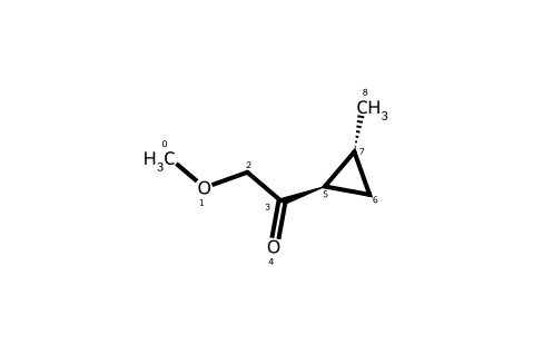 COCC(=O)[C@@H]1C[C@H]1C